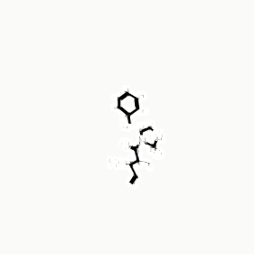 C=C[C@H](O)[C@H](C)C(=O)N1C(=O)OC[C@H]1Cc1ccccc1